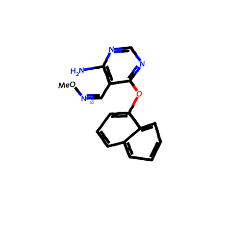 CO/N=C\c1c(N)ncnc1Oc1cccc2ccccc12